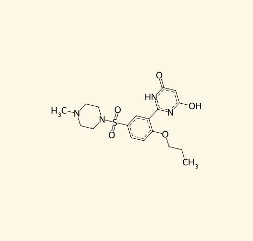 CCCOc1ccc(S(=O)(=O)N2CCN(C)CC2)cc1-c1nc(O)cc(=O)[nH]1